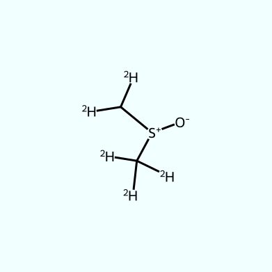 [2H]C([2H])[S+]([O-])C([2H])([2H])[2H]